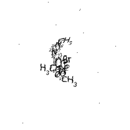 CCOP(=O)(OCC)C(F)(F)c1ccc(CN2CCN(C)CC2)cc1Br